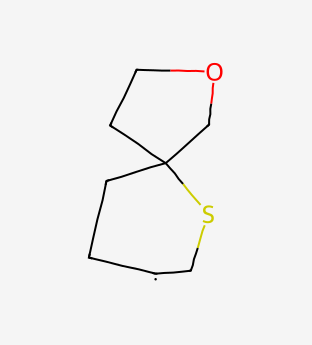 [CH]1CCC2(CCOC2)SC1